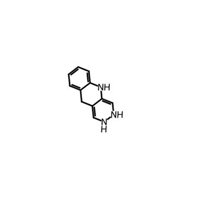 C1=C2Cc3ccccc3NC2=CNN1